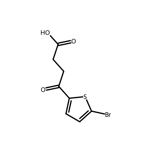 O=C(O)CCC(=O)c1ccc(Br)s1